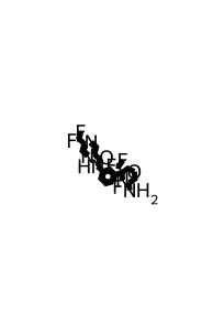 NC1=N[C@@](c2cc(NC(=O)c3cnc(C(F)F)cn3)ccc2F)(C(F)F)COC1